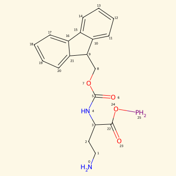 NCCC(NC(=O)OCC1c2ccccc2-c2ccccc21)C(=O)OP